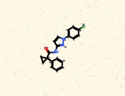 O=C(Nc1ccn(-c2ccc(Cl)cc2)n1)C1(c2ccccc2)CC1